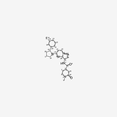 Cn1ccc(C(=O)Nc2cnn3ccc(N4CCCC4c4cccc(F)c4)nc23)cc1=O